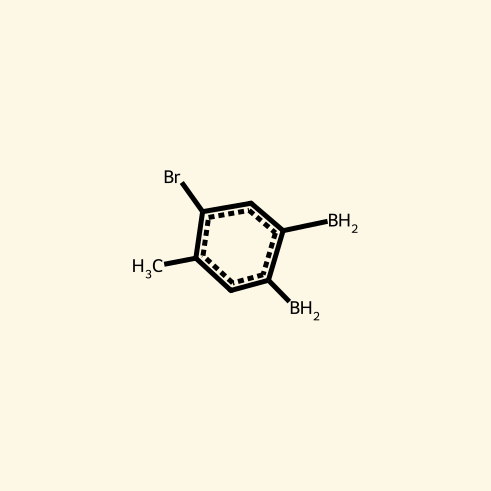 Bc1cc(C)c(Br)cc1B